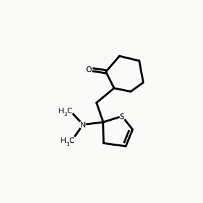 CN(C)C1(CC2CCCCC2=O)CC=CS1